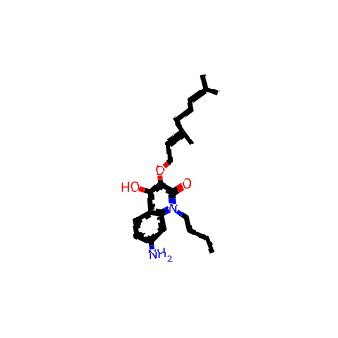 CCCCn1c(=O)c(OC/C=C(\C)CCC=C(C)C)c(O)c2ccc(N)cc21